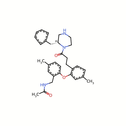 CC(=O)NCc1cc(C)ccc1Oc1cc(C)ccc1CCC(=O)N1CCNC[C@H]1Cc1ccccc1